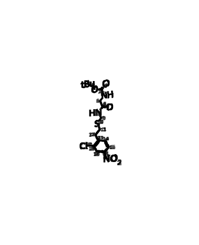 CC(C)(C)OC(=O)NCC(=O)NCSCCc1ccc([N+](=O)[O-])cc1Cl